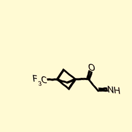 N=CC(=O)C12CC(C(F)(F)F)(C1)C2